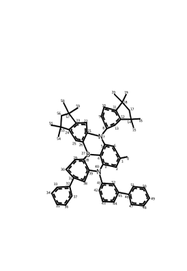 Cc1cc2c3c(c1)N(c1ccc4c(c1)C(C)(C)CC4(C)C)c1cc4c(cc1B3c1ccc(-c3ccccc3)cc1N2c1cccc(-c2ccccc2)c1)C(C)(C)CC4(C)C